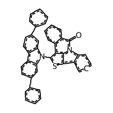 O=c1c2ccccc2c2c(-n3c4cc(-c5ccccc5)ccc4c4ccc(-c5ccccc5)cc43)sc3c4ccccc4n1c32